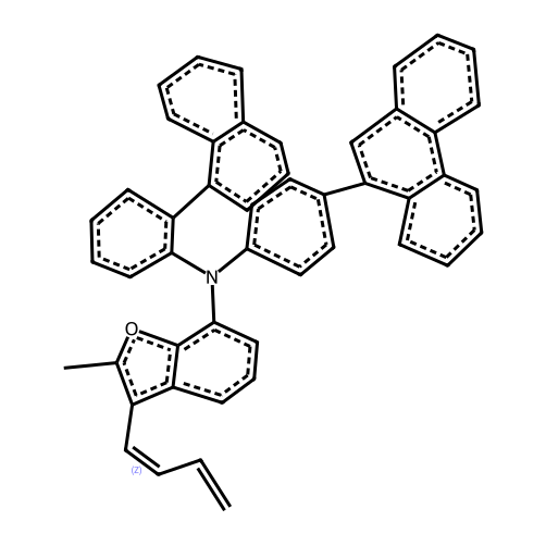 C=C/C=C\c1c(C)oc2c(N(c3ccc(-c4cc5ccccc5c5ccccc45)cc3)c3ccccc3-c3cccc4ccccc34)cccc12